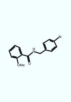 COc1ccccc1C(=O)NCc1ccc(Br)cc1